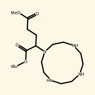 COC(=O)CCC(C(=O)OC(C)(C)C)N1CCNCCNCCNCC1